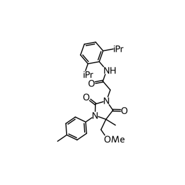 COCC1(C)C(=O)N(CC(=O)Nc2c(C(C)C)cccc2C(C)C)C(=O)N1c1ccc(C)cc1